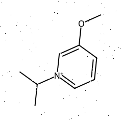 COc1ccc[n+](C(C)C)c1